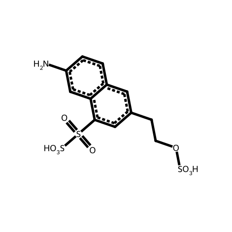 Nc1ccc2cc(CCOS(=O)(=O)O)cc(S(=O)(=O)S(=O)(=O)O)c2c1